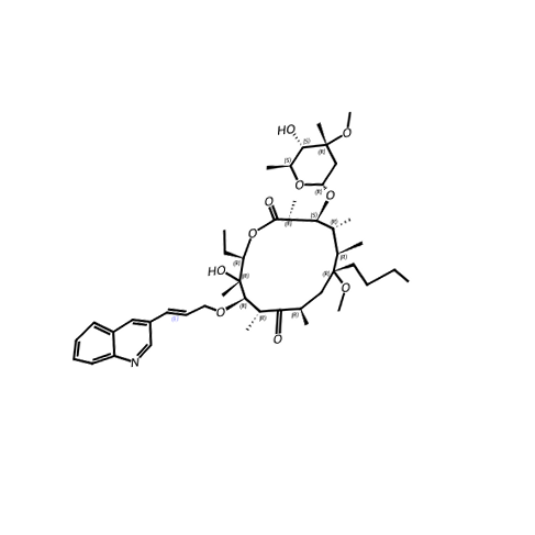 CCCC[C@@]1(OC)C[C@@H](C)C(=O)[C@H](C)[C@@H](OC/C=C/c2cnc3ccccc3c2)[C@](C)(O)[C@@H](CC)OC(=O)[C@H](C)[C@@H](O[C@H]2C[C@@](C)(OC)[C@@H](O)[C@H](C)O2)[C@H](C)[C@H]1C